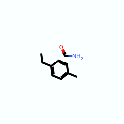 CCc1ccc(C)cc1.NC=O